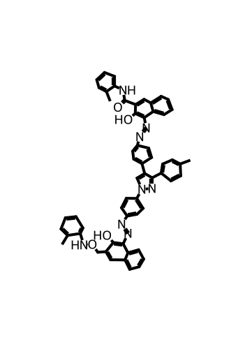 Cc1ccc(-c2nn(-c3ccc(N=Nc4c(O)c(CONc5ccccc5C)cc5ccccc45)cc3)cc2-c2ccc(N=Nc3c(O)c(C(=O)Nc4ccccc4C)cc4ccccc34)cc2)cc1